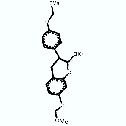 COCOc1ccc(C2Cc3ccc(OCOC)cc3OC2C=O)cc1